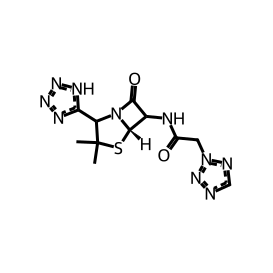 CC1(C)S[C@H]2C(NC(=O)Cn3ncnn3)C(=O)N2C1c1nnn[nH]1